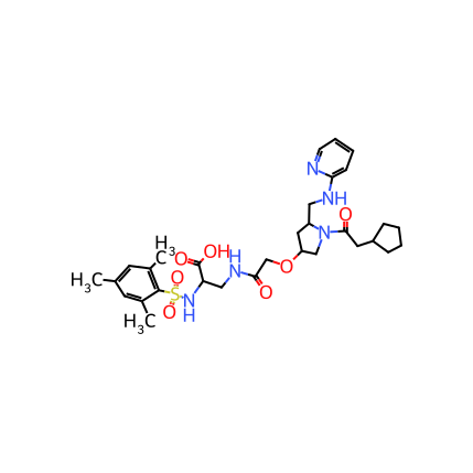 Cc1cc(C)c(S(=O)(=O)NC(CNC(=O)COC2CC(CNc3ccccn3)N(C(=O)CC3CCCC3)C2)C(=O)O)c(C)c1